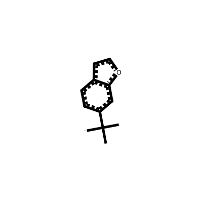 [CH2]C(C)(C)c1ccc2ccoc2c1